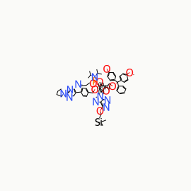 COc1ccc(C(OC[C@H]2O[C@@H](n3cnc4c(OCC[Si](C)(C)C)ncnc43)[C@H](OCc3ccc(-c4cnc(N5CCCC5)nc4)cc3)[C@@H]2OP(OCCC#N)N(C(C)C)C(C)C)(c2ccccc2)c2ccc(OC)cc2)cc1